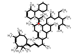 C=CC(C)C(C)C(CC)CC(C)CC1C(C)CC(CC(/C(C)=C/CC(C)CC(CC)N2CC=CC(C)C2C2CCCCC2)C(C)/C=C/C=C2\CCC(C)/C(C)=C\C(C)C2(C)C)CC1CC